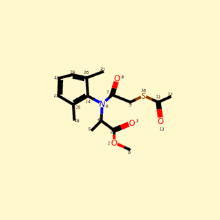 COC(=O)C(C)N(C(=O)CSC(C)=O)c1c(C)cccc1C